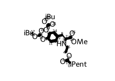 CCCC(C)C(=O)OCCN[C@@H](Cc1ccc(OC(=O)OC(C)CC)c(OC(=O)OC(C)CC)c1)C(=O)OC